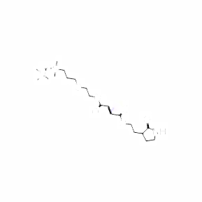 C[Si](C)(C)O[Si](C)(C)CCCOCCOC(=O)/C=C/C(=O)OCCC1CCNC1=O